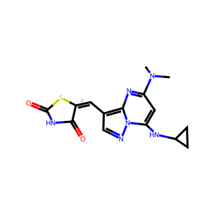 CN(C)c1cc(NC2CC2)n2ncc(/C=C3/SC(=O)NC3=O)c2n1